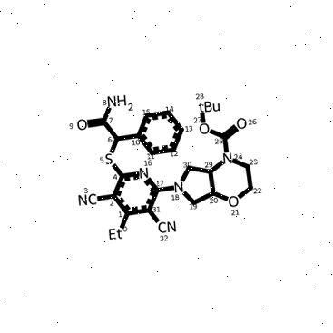 CCc1c(C#N)c(SC(C(N)=O)c2ccccc2)nc(N2CC3OCCN(C(=O)OC(C)(C)C)C3C2)c1C#N